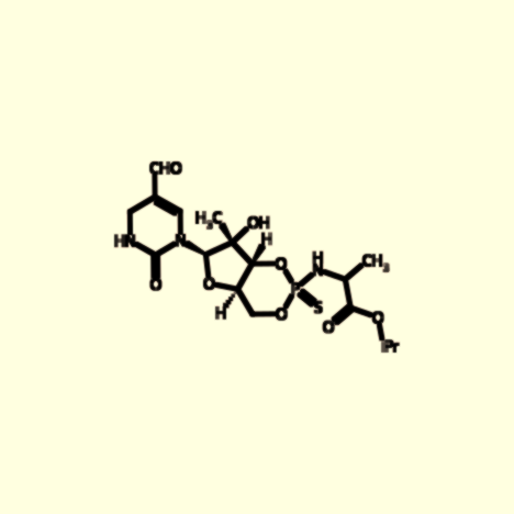 CC(C)OC(=O)C(C)NP1(=S)OC[C@H]2O[C@@H](N3C=C(C=O)CNC3=O)[C@](C)(O)[C@@H]2O1